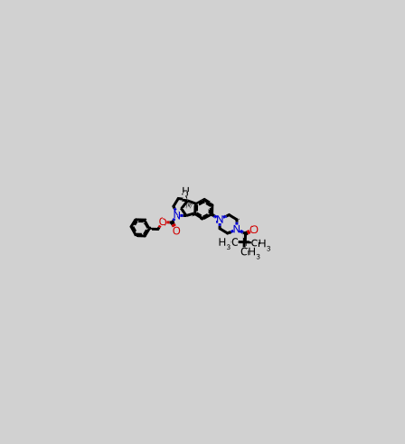 CC(C)(C)C(=O)N1CCN(c2ccc3c(c2)C2C[C@H]3CCN2C(=O)OCc2ccccc2)CC1